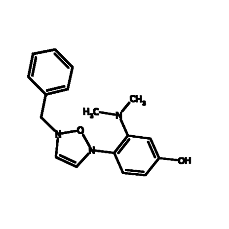 CN(C)c1cc(O)ccc1N1C=CN(Cc2ccccc2)O1